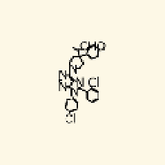 CC(C=O)C1(c2ccccc2)CCN(c2ncnc3c2nc(-c2ccccc2Cl)n3-c2ccc(Cl)cc2)CC1